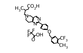 Cc1ccc(COc2ccc(-c3ncc4c(n3)CCN(CC(C)CC(=O)O)C4)cc2)cc1C(F)(F)F.O=C(O)C(F)(F)F